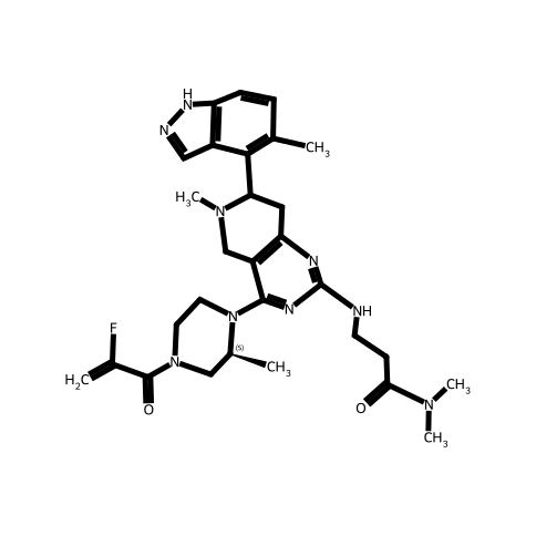 C=C(F)C(=O)N1CCN(c2nc(NCCC(=O)N(C)C)nc3c2CN(C)C(c2c(C)ccc4[nH]ncc24)C3)[C@@H](C)C1